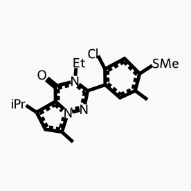 CCn1c(-c2cc(C)c(SC)cc2Cl)nn2c(C)cc(C(C)C)c2c1=O